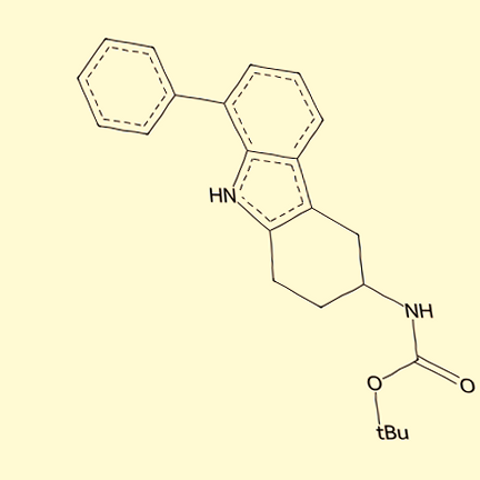 CC(C)(C)OC(=O)NC1CCc2[nH]c3c(-c4ccccc4)cccc3c2C1